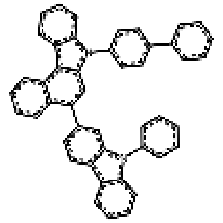 c1ccc(-c2ccc(-n3c4ccccc4c4c5ccccc5c(-c5ccc6c7ccccc7n(-c7ccccc7)c6c5)cc43)cc2)cc1